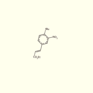 CCOC(=O)/C=C/c1ccc(C(C)(C)C)c([N+](=O)[O-])c1